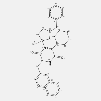 N#CC1(NC(=O)C(Cc2ccc3ccccc3c2)NC(=O)ON2CCOCC2)CCN(Cc2ccccc2)C1